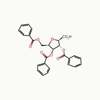 O=C(OC[C@H]1O[C@@H](C(=O)O)[C@H](OC(=O)c2ccccc2)[C@H]1OC(=O)c1ccccc1)c1ccccc1